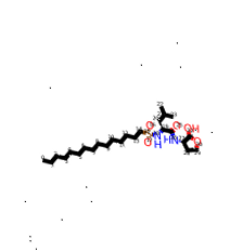 CCCCCCCCCCCCCCCS(=O)(=O)N[C@@H](CC(C)C)C(=O)N[C@H]1CCOC1O